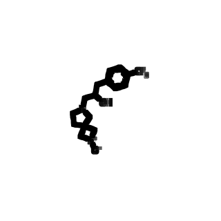 [O-][S+]1CC2(CCN(CC(O)Cc3ccc(C(F)(F)F)cc3)C2)C1